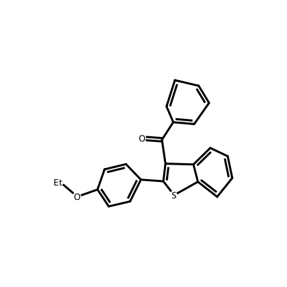 CCOc1ccc(-c2sc3ccccc3c2C(=O)c2ccccc2)cc1